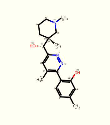 Cc1ccc(-c2nnc([C@H](O)[C@]3(C)CCCN(C)C3)cc2C)c(O)c1